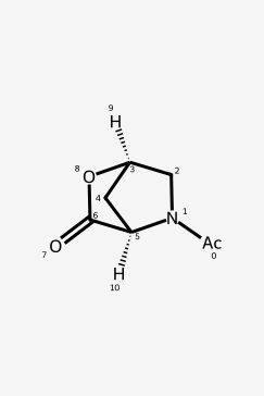 CC(=O)N1C[C@H]2C[C@@H]1C(=O)O2